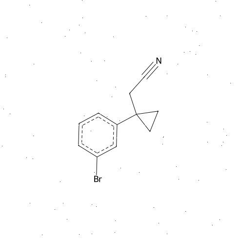 N#CCC1(c2cccc(Br)c2)CC1